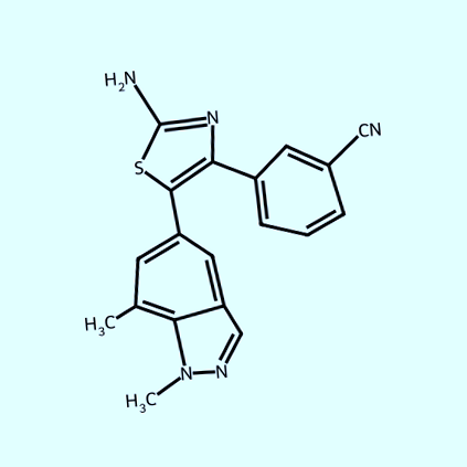 Cc1cc(-c2sc(N)nc2-c2cccc(C#N)c2)cc2cnn(C)c12